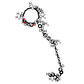 CO[C@H]1C[C@@H]2CC[C@@H](C)[C@@](O)(O2)C(=O)C(=O)N2CCCC[C@H]2C(=O)O[C@H]([C@H](N)C[C@@H]2CC[C@@H](OC(=O)NCc3cnc(N4CCN(c5ncc(C(=O)NCCOCCOCCOCCOCCC(=O)N6CCc7cc(Cn8nc(-c9cnc%10[nH]ccc%10c9)c9c(N)ncnc98)ccc7C6)c(N)n5)CC4)nc3)[C@H](OC)C2)CC(=O)[C@H](C)/C=C(\C)[C@@H](O)[C@@H](O)C(=O)[C@H](C)C[C@H](C)/C=C/C=C/C=C/1C